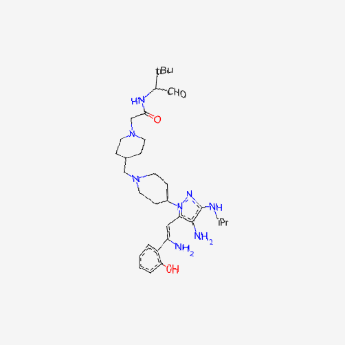 CC(C)Nc1nn(C2CCN(CC3CCN(CC(=O)NC(C=O)C(C)(C)C)CC3)CC2)c(/C=C(\N)c2ccccc2O)c1N